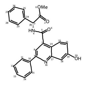 COC(=O)[C@H](NC(=O)c1cc(-c2ccccc2)nc2cc(O)ccc12)c1ccccc1